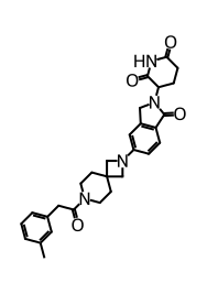 Cc1cccc(CC(=O)N2CCC3(CC2)CN(c2ccc4c(c2)CN(C2CCC(=O)NC2=O)C4=O)C3)c1